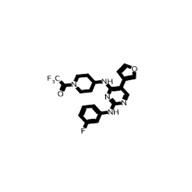 O=C(N1CCC(Nc2nc(Nc3cccc(F)c3)ncc2-c2ccoc2)CC1)C(F)(F)F